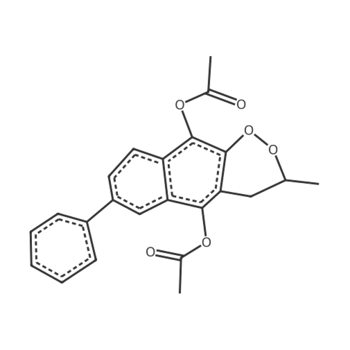 CC(=O)Oc1c2c(c(OC(C)=O)c3ccc(-c4ccccc4)cc13)OOC(C)C2